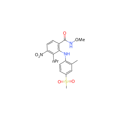 CCCc1c([N+](=O)[O-])ccc(C(=O)NOC)c1Nc1ccc(S(C)(=O)=O)cc1C